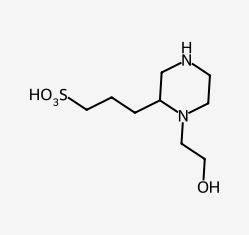 O=S(=O)(O)CCCC1CNCCN1CCO